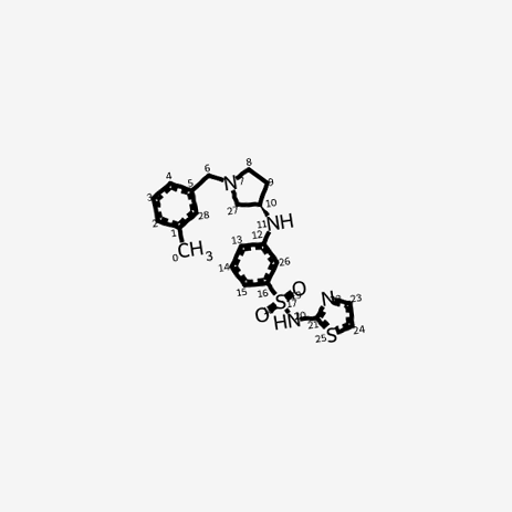 Cc1cccc(CN2CC[C@@H](Nc3cccc(S(=O)(=O)Nc4nccs4)c3)C2)c1